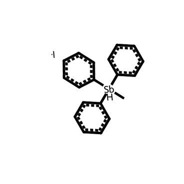 [CH3][SbH]([c]1ccccc1)([c]1ccccc1)[c]1ccccc1.[I]